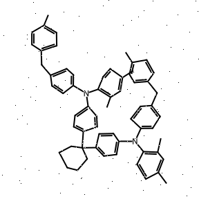 Cc1ccc(Cc2ccc(N(c3ccc(C4(c5ccc(N(c6ccc(Cc7ccc(C)cc7)cc6)c6ccc(C)cc6C)cc5)CCCCC4)cc3)c3ccc(C)cc3C)cc2)cc1